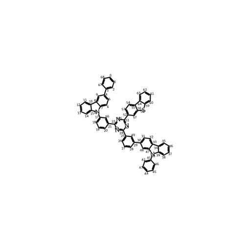 c1ccc(-c2ccc3c(c2)c2ccccc2n3-c2cccc(-c3nc(-c4cccc(-c5ccc6c7ccccc7n(-c7ccccc7)c6c5)c4)nc(-c4ccc5c(c4)sc4ccccc45)n3)c2)cc1